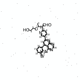 CC(OCCO)N(C=O)c1ccc(-c2cc(-c3cccc(Br)c3)c3c(N)ncnc3n2)cn1